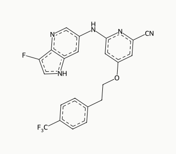 N#Cc1cc(OCCc2ccc(C(F)(F)F)cc2)cc(Nc2cnc3c(F)c[nH]c3c2)n1